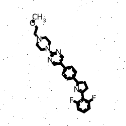 COCCN1CCN(c2ncc(-c3ccc(C4CCC(c5c(F)cccc5F)=N4)cc3)cn2)CC1